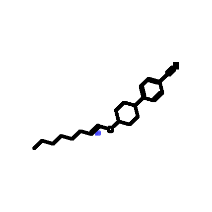 CCCCCC/C=C/OC1CCC(c2ccc(C#N)cc2)CC1